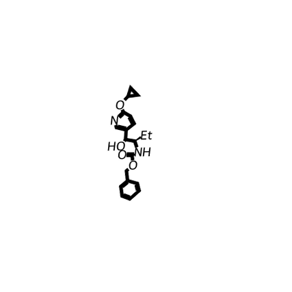 CC[C@@H](NC(=O)OCc1ccccc1)C(O)c1ccc(OC2CC2)nc1